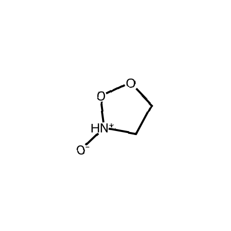 [O-][NH+]1CCOO1